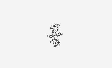 CN[C@@H](C)C(=O)N[C@H](C(=O)N1C[C@@H](F)C[C@H]1Cn1c(-c2[nH]c3cc(F)ccc3c2C[C@@H]2C[C@H](F)CN2C(=O)[C@@H](NC(=O)[C@H](C)NC)C(C)(C)C)nc2cc(F)ccc21)C1CC1